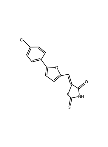 O=C1NC(=S)S/C1=C\c1ccc(-c2ccc(Cl)cc2)o1